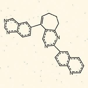 C1=C(c2ccc3ncncc3c2)c2cnc(-c3ccc4ncccc4c3)nc2CCC1